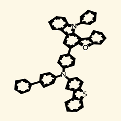 c1ccc(-c2ccc(N(c3ccc(-c4cc5c6ccccc6n(-c6ccccc6)c5c5c4oc4ccccc45)cc3)c3ccc4sc5ccccc5c4c3)cc2)cc1